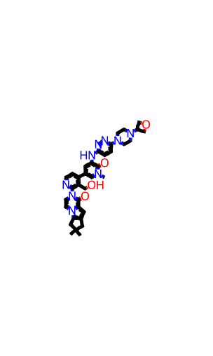 Cn1cc(-c2ccnc(-n3ccn4c5c(cc4c3=O)CC(C)(C)C5)c2CO)cc(Nc2ccc(N3CCN(C4COC4)CC3)nn2)c1=O